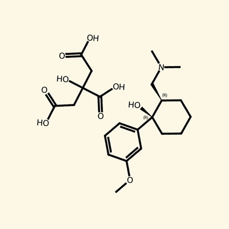 COc1cccc([C@@]2(O)CCCC[C@@H]2CN(C)C)c1.O=C(O)CC(O)(CC(=O)O)C(=O)O